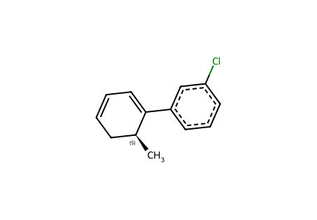 C[C@H]1CC=CC=C1c1cccc(Cl)c1